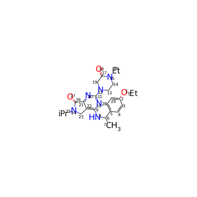 CCOc1ccc(C(C)Nc2nc(N3CCN(CC)C(=O)C3)nc3c2CN(C(C)C)C3=O)cc1